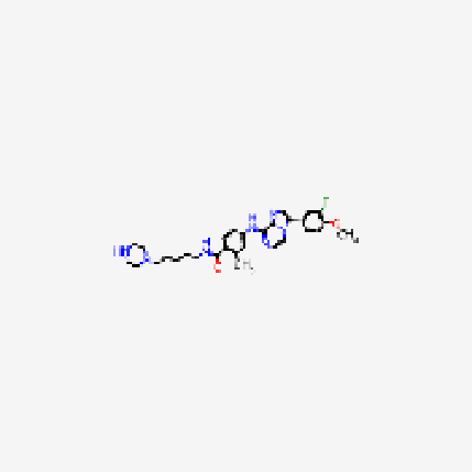 COc1ccc(-c2cnc3c(Nc4ccc(C(=O)NCCCCCN5CCNCC5)c(C)c4)nccn23)cc1F